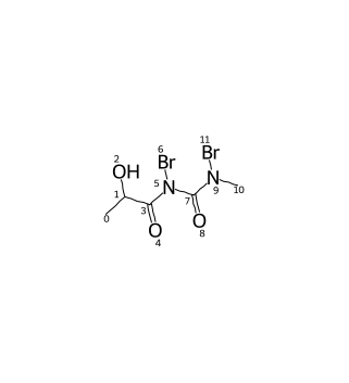 CC(O)C(=O)N(Br)C(=O)N(C)Br